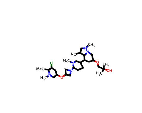 COC1C(Cl)CC(OC2CN(C3CCC(C4CC(OCC(C)(C)O)CN5C4C(C#N)CN5C)CN3C)C2)CN1C